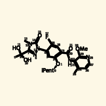 CCC[C@H](C)Oc1cc(-n2nc(C(C)(O)O)n(C)c2=O)c(F)cc1C(=O)Nc1c(C)ccnc1OC